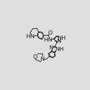 O=C(Nc1c[nH]nc1-c1nc2cc(CN3CCOCC3)ccc2[nH]1)c1ccc2c(c1)CCCN2